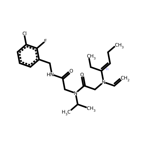 C=CN(CC(=O)N(CC(=O)NCc1cccc(Cl)c1F)C(C)C)/C(=C/CC)CC